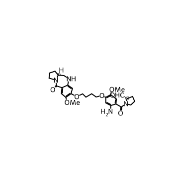 COc1cc(C(=O)N2CCC[C@H]2C=O)c(N)cc1OCCCCOc1cc2c(cc1OC)C(=O)N1CCC[C@H]1CN2